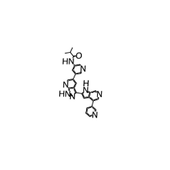 CC(C)C(=O)Nc1cncc(-c2cnc3[nH]nc(-c4cc5c(-c6cccnc6)cncc5[nH]4)c3c2)c1